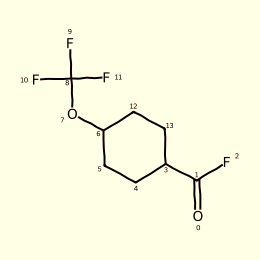 O=C(F)C1CCC(OC(F)(F)F)CC1